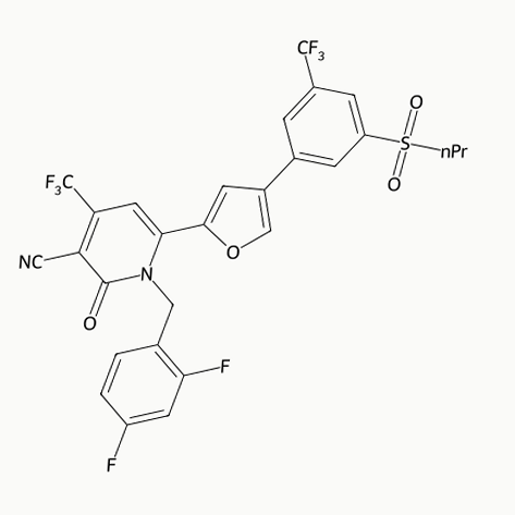 CCCS(=O)(=O)c1cc(-c2coc(-c3cc(C(F)(F)F)c(C#N)c(=O)n3Cc3ccc(F)cc3F)c2)cc(C(F)(F)F)c1